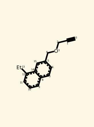 C#CCOCc1ccc2cccc(CC)c2c1